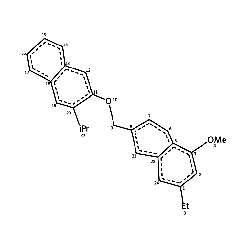 CCc1cc(OC)c2ccc(COc3cc4ccccc4cc3C(C)C)cc2c1